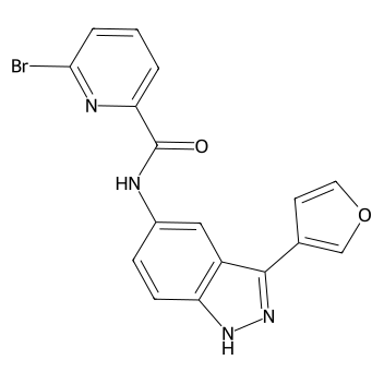 O=C(Nc1ccc2[nH]nc(-c3ccoc3)c2c1)c1cccc(Br)n1